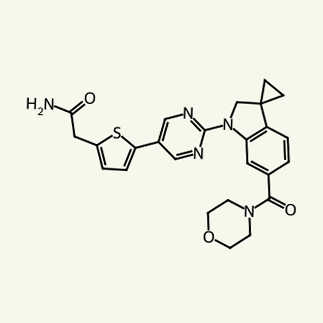 NC(=O)Cc1ccc(-c2cnc(N3CC4(CC4)c4ccc(C(=O)N5CCOCC5)cc43)nc2)s1